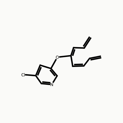 C=C/C=C\C(=C/C=C)Oc1cncc(Cl)c1